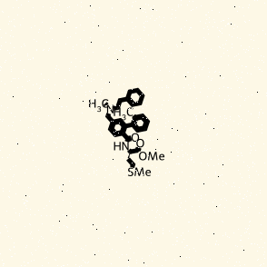 COC(=O)[C@H](CCSC)NC(=O)c1ccc(CN(C)CCC2=CCCCC2)cc1-c1ccccc1C